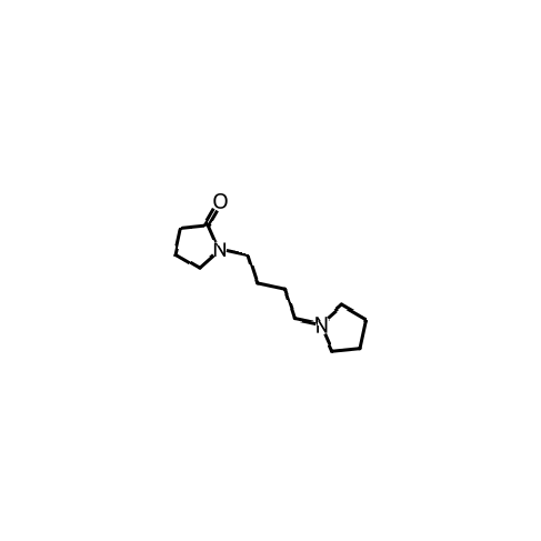 O=C1CCCN1CCCCN1CCCC1